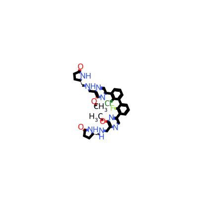 COc1nc(-c2cccc(-c3cccc(-c4cnc(CNC[C@@H]5CCC(=O)N5)c(OC)n4)c3Cl)c2F)cnc1CNC[C@@H]1CCC(=O)N1